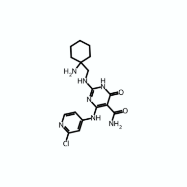 NC(=O)c1c(Nc2ccnc(Cl)c2)nc(NCC2(N)CCCCC2)[nH]c1=O